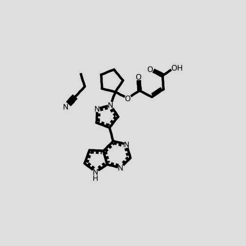 CCC#N.O=C(O)/C=C\C(=O)OC1(n2cc(-c3ncnc4[nH]ccc34)cn2)CCCC1